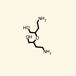 NCCC(CO)OC(CO)CCN